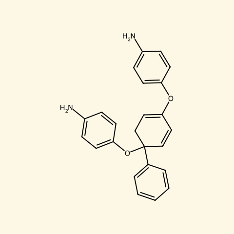 Nc1ccc(OC2=CCC(Oc3ccc(N)cc3)(c3ccccc3)C=C2)cc1